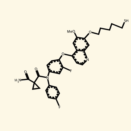 COc1cc2c(Oc3ccc(N(C(=O)C4(C(N)=O)CC4)c4ccc(F)cc4)cc3F)ccnc2cc1OCCCCCS